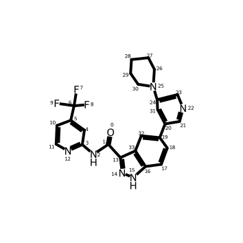 O=C(Nc1cc(C(F)(F)F)ccn1)c1n[nH]c2ccc(-c3cncc(N4CCCCC4)c3)cc12